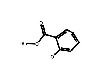 CC(C)(C)OC(=O)c1ccccc1[O]